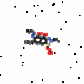 CN=Nc1c(SOOO)cc2cc(S(=O)(=O)O)c(N=NC)c(O)c2c1O